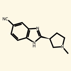 CN1CC[C@H](c2nc3cc(C#N)ccc3[nH]2)C1